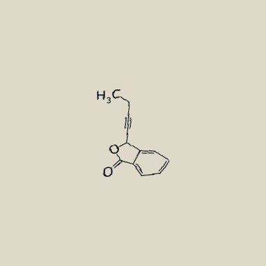 CCC#CC1OC(=O)c2ccccc21